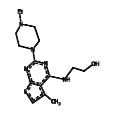 CCN1CCN(c2nc(NCCO)c3c(C)csc3n2)CC1